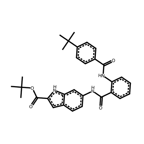 CC(C)(C)OC(=O)c1cc2ccc(NC(=O)c3ccccc3NC(=O)c3ccc(C(C)(C)C)cc3)cc2[nH]1